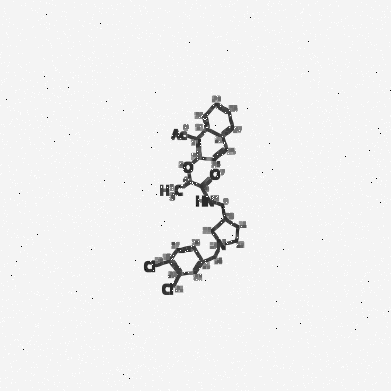 CC(=O)c1c(OC(C)C(=O)NCC2CCN(Cc3ccc(Cl)c(Cl)c3)C2)ccc2ccccc12